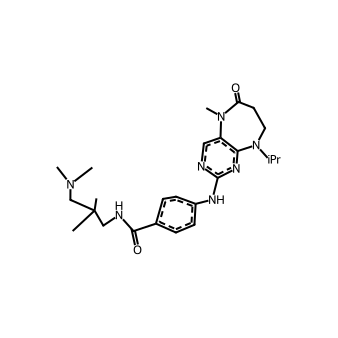 CC(C)N1CCC(=O)N(C)c2cnc(Nc3ccc(C(=O)NCC(C)(C)CN(C)C)cc3)nc21